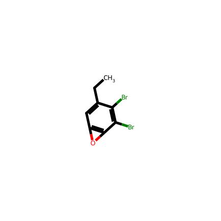 CCc1cc2c(c(Br)c1Br)O2